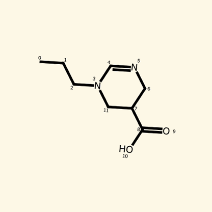 CCCN1C=NCC(C(=O)O)C1